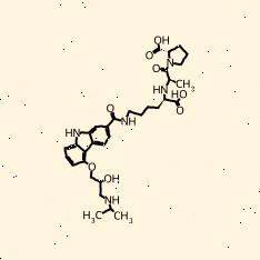 CC(C)NC[C@H](O)COc1cccc2[nH]c3cc(C(=O)NCCCC[C@@H](N[C@H](C)C(=O)N4CCC[C@H]4C(=O)O)C(=O)O)ccc3c12